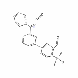 O=C/C=C(\c1ccccc1)c1cccc(-c2ccc(C(F)(F)F)c(C=O)c2)c1